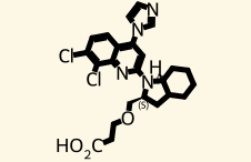 O=C(O)CCOC[C@@H]1CC2CCCC[C@@H]2N1c1cc(-n2ccnc2)c2ccc(Cl)c(Cl)c2n1